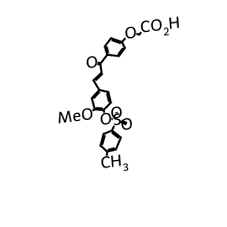 COc1cc(C=CC(=O)c2ccc(OCC(=O)O)cc2)ccc1OS(=O)(=O)c1ccc(C)cc1